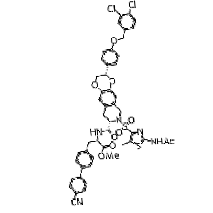 COC(=O)C(Cc1ccc(-c2ccc(C#N)cc2)cc1)NC(=O)[C@@H]1Cc2cc3c(cc2CN1S(=O)(=O)c1nc(NC(C)=O)sc1C)O[C@@H](c1ccc(OCc2ccc(Cl)c(Cl)c2)cc1)CO3